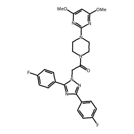 COc1cc(OC)nc(N2CCN(C(=O)Cn3nc(-c4ccc(F)cc4)nc3-c3ccc(F)cc3)CC2)n1